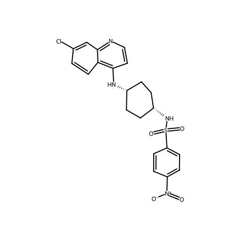 O=[N+]([O-])c1ccc(S(=O)(=O)N[C@H]2CC[C@@H](Nc3ccnc4cc(Cl)ccc34)CC2)cc1